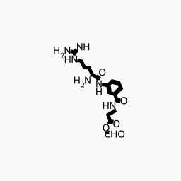 N=C(N)NCCC[C@H](N)C(=O)Nc1cccc(C(=O)NCCC(=O)OC=O)c1